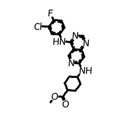 COC(=O)C1CCC(Nc2cc3ncnc(Nc4ccc(F)c(Cl)c4)c3cn2)CC1